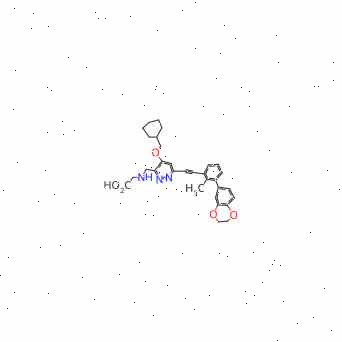 Cc1c(C#Cc2cc(OCC3CCCCC3)c(CNCC(=O)O)nn2)cccc1-c1ccc2c(c1)OCCO2